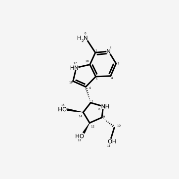 Nc1nccc2c([C@@H]3N[C@H](CO)[C@@H](O)[C@H]3O)c[nH]c12